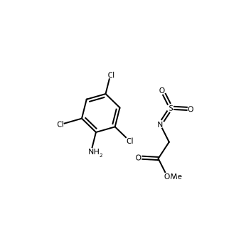 COC(=O)CN=S(=O)=O.Nc1c(Cl)cc(Cl)cc1Cl